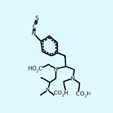 CC(CN(CC(=O)O)C(Cc1ccc(N=C=S)cc1)CN(CC(=O)O)CC(=O)O)N(C)C